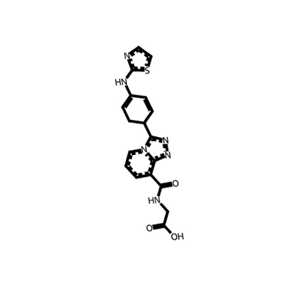 O=C(O)CNC(=O)c1cccn2c(C3C=CC(Nc4nccs4)=CC3)nnc12